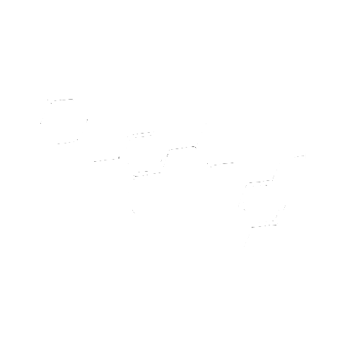 CC[S+]([O-])c1ccc(Cl)cc1CNC(=O)c1ccc(CN2CCNCC2)c(OC(F)(F)F)c1